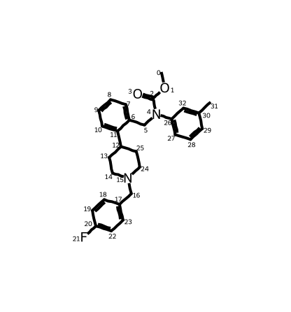 COC(=O)N(Cc1ccccc1C1CCN(Cc2ccc(F)cc2)CC1)c1cccc(C)c1